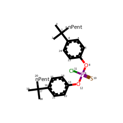 CCCCCC(C)(C)c1ccc(OP(=S)(Cl)Oc2ccc(C(C)(C)CCCCC)cc2)cc1